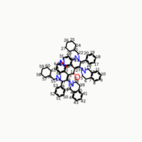 O=C(C1=C(N2CCc3ccccc3C2)C(c2ccccc2)N(CC2CCCCC2)c2ccncc21)C1=C(N2CCc3ccccc3C2)C(c2ccccc2)N(CC2CCCCC2)c2ccncc21